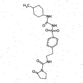 CC1CCC(NC(=O)NS(=O)(=O)c2ccc(CCNC(=O)N3CCCC3=O)cc2)CC1